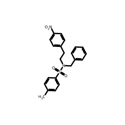 Cc1ccc(S(=O)(=O)N(CCc2ccc([N+](=O)[O-])cc2)Cc2ccccc2)cc1